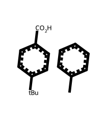 CC(C)(C)c1ccc(C(=O)O)cc1.Cc1ccccc1